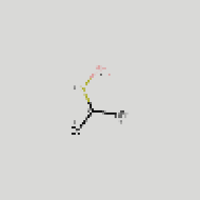 BSC(CC)CCC